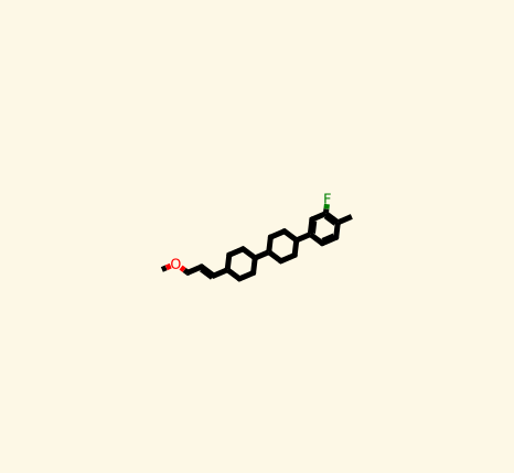 COC/C=C/C1CCC(C2CCC(c3ccc(C)c(F)c3)CC2)CC1